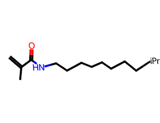 C=C(C)C(=O)NCCCCCCCCC(C)C